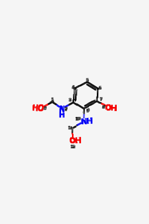 OCNc1cccc(O)c1NCO